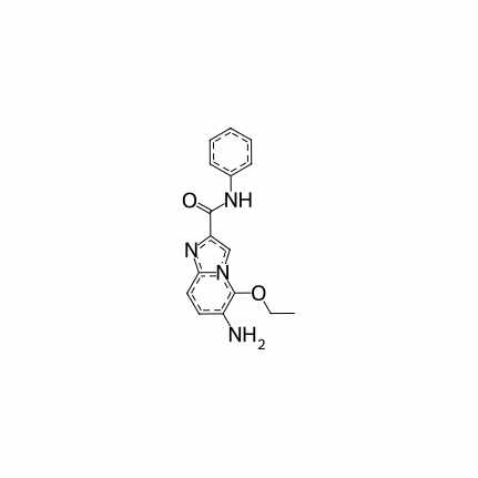 CCOc1c(N)ccc2nc(C(=O)Nc3ccccc3)cn12